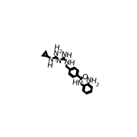 N=C(/N=C(\N)NC1CC1)NCc1ccc(C(=O)Nc2ccccc2N)cc1